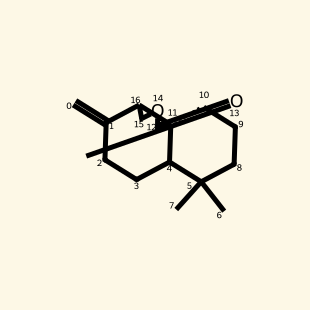 C=C1CCC2C(C)(C)CCC[C@@]23C(=O)OCC13